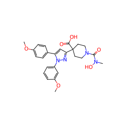 COc1ccc(-c2cc(C3(C(=O)O)CCN(C(=O)N(C)O)CC3)nn2-c2cccc(OC)c2)cc1